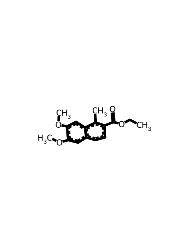 CCOC(=O)c1ccc2cc(OC)c(OC)cc2c1C